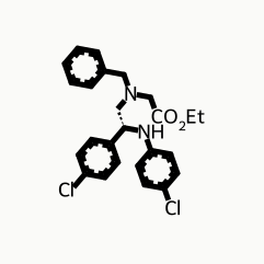 CCOC(=O)CN(Cc1ccccc1)C[C@H](Nc1ccc(Cl)cc1)c1ccc(Cl)cc1